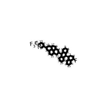 Fc1ccc(-c2c3ccccc3c(-c3cc4ccc5cc(-c6ccc(C(F)(F)F)nc6)cc6ccc(c3)c4c56)c3ccccc23)c2ccccc12